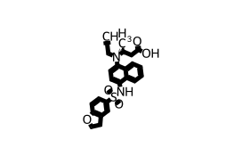 C#CCN(c1ccc(NS(=O)(=O)c2ccc3c(c2)CCO3)c2ccccc12)[C@@H](C)CC(=O)O